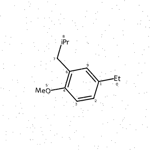 CCc1ccc(OC)c(CC(C)C)c1